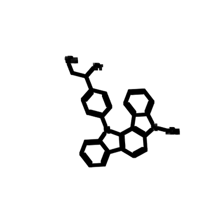 CCCCn1c2ccccc2c2c1ccc1c3ccccc3n(-c3ccc(C(CC(C)(C)C)C(C)C)cc3)c12